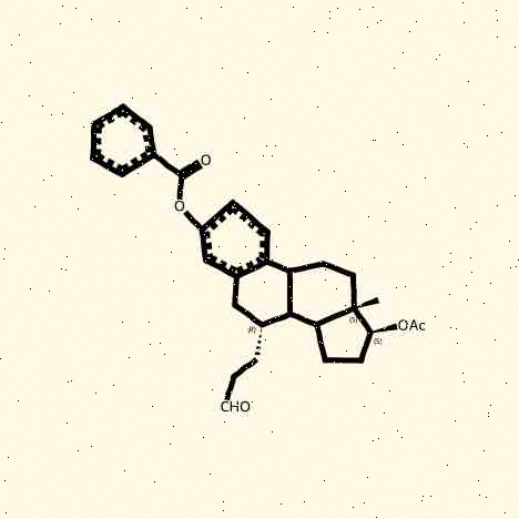 CC(=O)O[C@H]1CCC2C3C(CC[C@@]21C)c1ccc(OC(=O)c2ccccc2)cc1C[C@H]3CCC=O